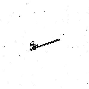 C=C(C)C(=O)O.C=Cc1ccccc1.CCCCCCCCCCCCCCCCCC